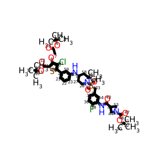 CC(C)(C)OC(=O)COc1c(C(=O)OC(C)(C)C)sc(-c2cccc(N[C@H]3CCN(S(=O)(=O)Cc4ccc(F)c(NC(=O)C5CN(C(=O)OC(C)(C)C)C5)c4)C(C)(C)C3)c2)c1Cl